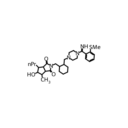 CCCC1C(O)C(C)C2C(=O)N(CC3CCCCC3CN3CCN(C(=N)c4ccccc4SC)CC3)C(=O)C12